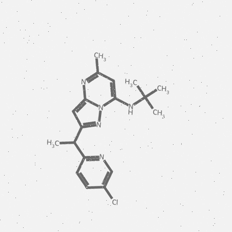 Cc1cc(NC(C)(C)C)n2nc(C(C)c3ccc(Cl)cn3)cc2n1